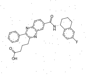 O=C(O)CCCc1nc2cc(C(=O)N[C@@H]3CCCc4cc(F)ccc43)ccc2nc1-c1ccccc1